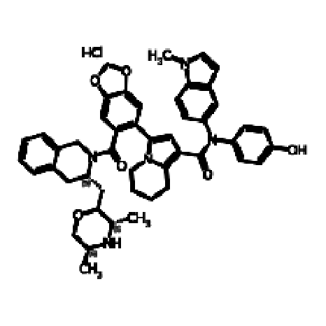 C[C@@H]1N[C@@H](C)COC1C[C@@H]1Cc2ccccc2CN1C(=O)c1cc2c(cc1-c1cc(C(=O)N(c3ccc(O)cc3)c3ccc4c(ccn4C)c3)c3n1CCCC3)OCO2.Cl